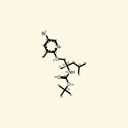 Cc1cc(Br)cnc1OC[C@](C)(CC(C)C)NC(=O)OC(C)(C)C